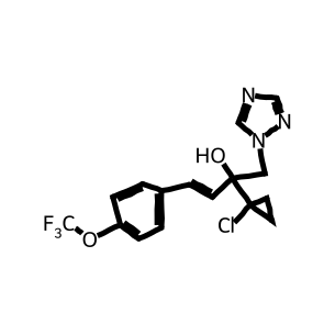 OC(C=Cc1ccc(OC(F)(F)F)cc1)(Cn1cncn1)C1(Cl)CC1